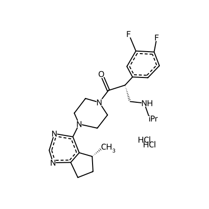 CC(C)NC[C@H](C(=O)N1CCN(c2ncnc3c2[C@H](C)CC3)CC1)c1ccc(F)c(F)c1.Cl.Cl